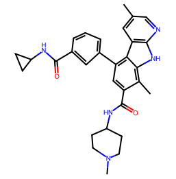 Cc1cnc2[nH]c3c(C)c(C(=O)NC4CCN(C)CC4)cc(-c4cccc(C(=O)NC5CC5)c4)c3c2c1